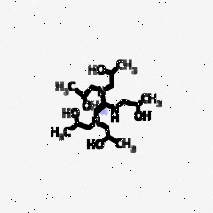 CC(O)CN/C(=C\N(CC(C)O)CC(C)O)N(CC(C)O)CC(C)O